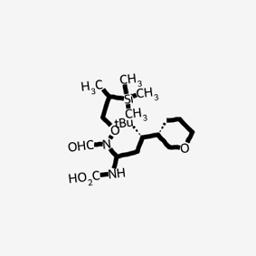 CC(CON(C=O)C(C[C@@H]([C@@H]1CCCOC1)C(C)(C)C)NC(=O)O)[Si](C)(C)C